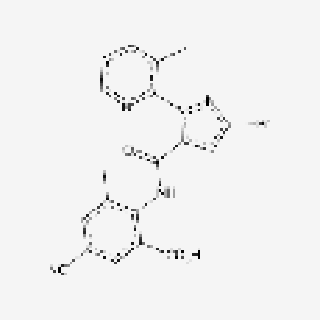 Cc1cccnc1-n1nc(Br)cc1C(=O)Nc1c(C)cc(C#N)cc1C(=O)O